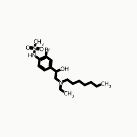 CCCCCCCN(CC)CC(O)c1ccc(NS(C)(=O)=O)c(Br)c1